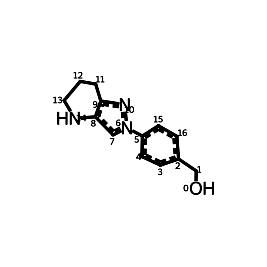 OCc1ccc(-n2cc3c(n2)CCCN3)cc1